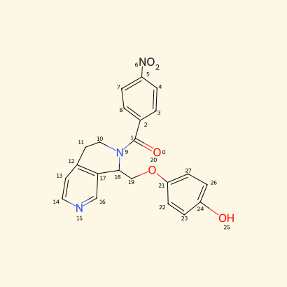 O=C(c1ccc([N+](=O)[O-])cc1)N1CCc2ccncc2C1COc1ccc(O)cc1